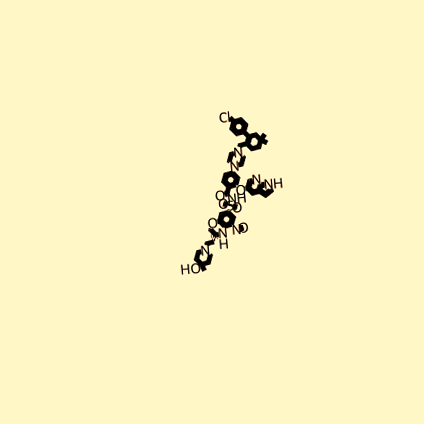 CC1(C)CCC(CN2CCN(c3ccc(C(=O)NS(=O)(=O)c4cc(N=O)c5c(c4)OC[C@@H](CCN4CCC(C)(O)CC4)N5)c(Oc4cnc5[nH]ccc5c4)c3)CC2)=C(c2ccc(Cl)cc2)C1